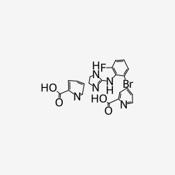 Fc1cccc(Br)c1NC1=NCCN1.O=C(O)c1ccccn1.O=C(O)c1ccccn1